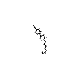 CCCCCCC1CCC(c2ccc(C#N)cn2)CC1